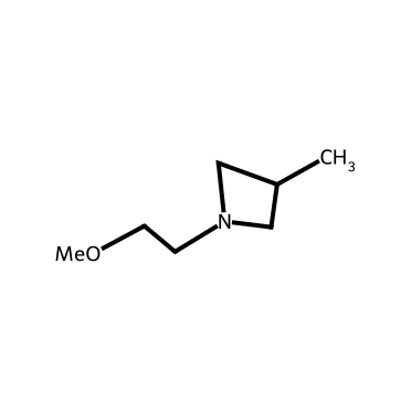 COCCN1CC(C)C1